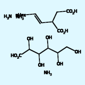 CCCCCCC=CC(CC(=O)O)C(=O)O.N.N.N.O=C(O)C(O)C(O)C(O)C(O)CO